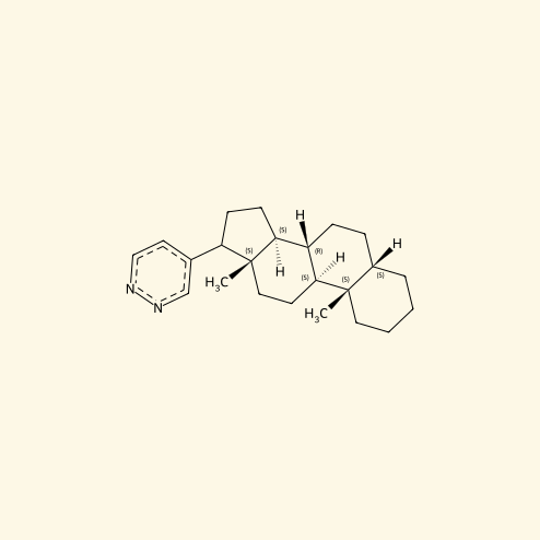 C[C@]12CCCC[C@H]1CC[C@@H]1[C@@H]2CC[C@]2(C)C(c3ccnnc3)CC[C@@H]12